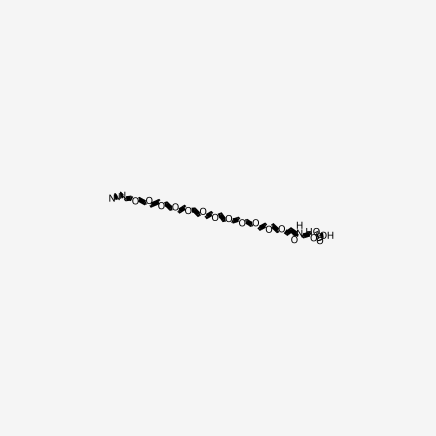 [N-]=[N+]=NCCOCCOCCOCCOCCOCCOCCOCCOCCOCCOCCOCCOCCC(=O)NCCOP(=O)(O)O